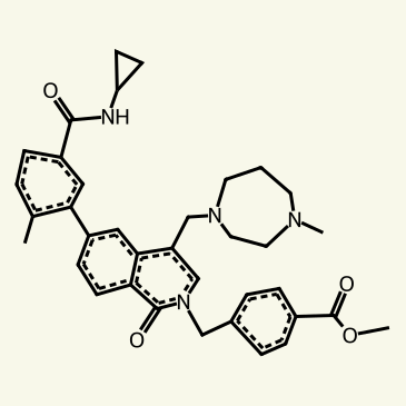 COC(=O)c1ccc(Cn2cc(CN3CCCN(C)CC3)c3cc(-c4cc(C(=O)NC5CC5)ccc4C)ccc3c2=O)cc1